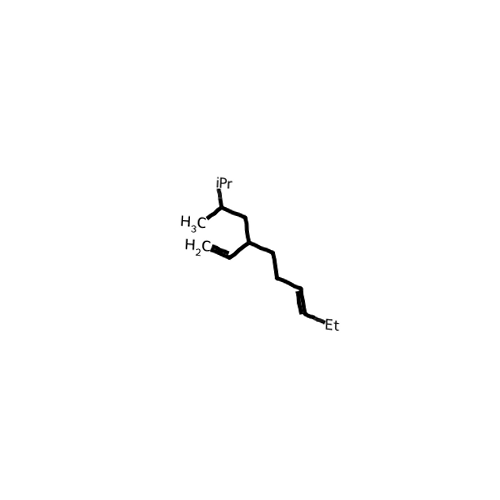 C=CC(CC/C=C/CC)CC(C)C(C)C